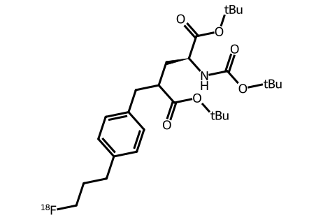 CC(C)(C)OC(=O)N[C@@H](CC(Cc1ccc(CCC[18F])cc1)C(=O)OC(C)(C)C)C(=O)OC(C)(C)C